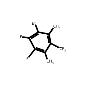 CCc1c(C)c(C(F)(F)F)c(C)c(F)c1F